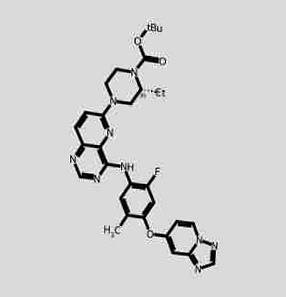 CC[C@@H]1CN(c2ccc3ncnc(Nc4cc(C)c(Oc5ccn6ncnc6c5)cc4F)c3n2)CCN1C(=O)OC(C)(C)C